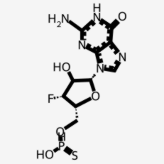 Nc1nc2c(ncn2[C@@H]2O[C@H](CO[PH](O)=S)[C@H](F)C2O)c(=O)[nH]1